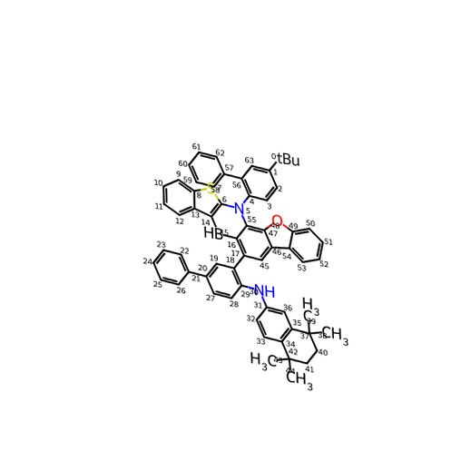 CC(C)(C)c1ccc(N2c3sc4ccccc4c3Bc3c(-c4cc(-c5ccccc5)ccc4Nc4ccc5c(c4)C(C)(C)CCC5(C)C)cc4c(oc5ccccc54)c32)c(-c2ccccc2)c1